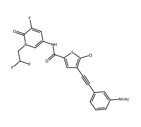 CC(=O)Nc1cccc(C#Cc2cc(C(=O)Nc3cc(F)c(=O)n(CC(F)F)c3)sc2Cl)c1